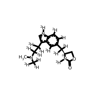 [2H]c1c(C([2H])([2H])[C@H]2COC(=O)N2[2H])c([2H])c2c(C([2H])([2H])C([2H])([2H])N(C)C([2H])([2H])[2H])cn([2H])c2c1[2H]